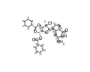 C[C@@]1(Cl)[C@H](OC(=O)c2ccccc2)[C@@H](COC(=O)c2ccccc2)O[C@H]1n1cnc2c(=O)[nH]c(N)nc21